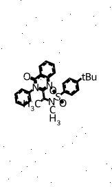 CC(c1nc2ccccc2c(=O)n1-c1ccccc1)N(C)S(=O)(=O)c1ccc(C(C)(C)C)cc1